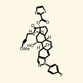 COC#CCSC(=O)[C@@]1(OC(=O)c2nccs2)CC[C@H]2[C@@H]3CCC4=Cc5c(cnn5-c5ccc(F)cc5)C[C@]4(C)[C@H]3[C@@H](O)C[C@@]21C